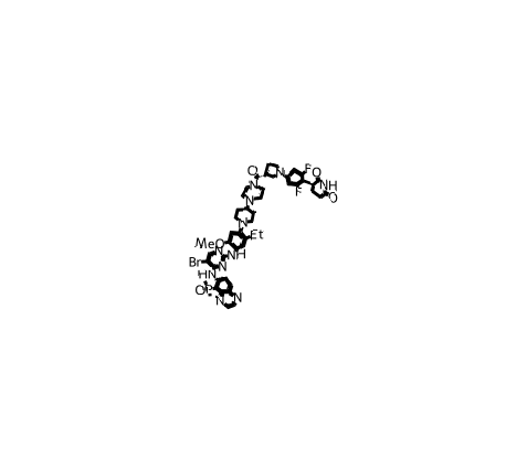 CCc1cc(Nc2ncc(Br)c(Nc3ccc4nccnc4c3P(C)(C)=O)n2)c(OC)cc1N1CCC(N2CCN(C(=O)[C@@H]3CCN(c4cc(F)c(C5CCC(=O)NC5=O)c(F)c4)C3)CC2)CC1